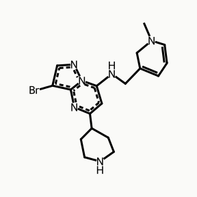 CN1C=CC=C(CNc2cc(C3CCNCC3)nc3c(Br)cnn23)C1